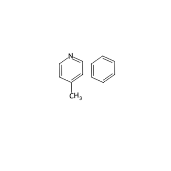 Cc1ccncc1.c1ccccc1